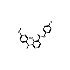 COc1ccc(C(C)c2cccc(C(=O)Nc3ccc(Cl)cc3)c2O)cc1